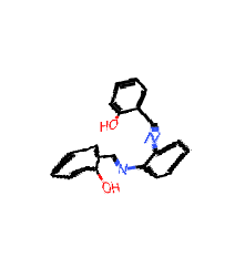 Oc1ccccc1/C=N/c1ccccc1/N=C/c1ccccc1O